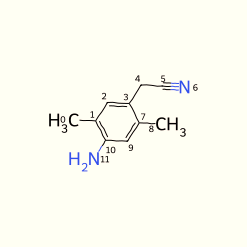 Cc1cc(CC#N)c(C)cc1N